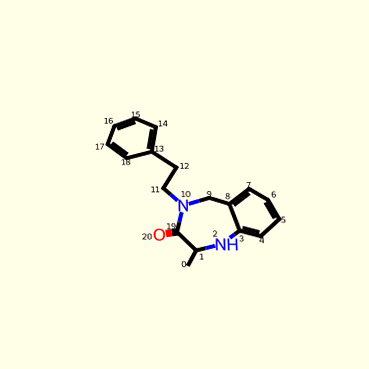 CC1Nc2ccccc2CN(CCc2ccccc2)C1=O